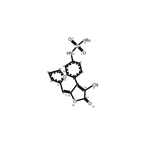 CCCCS(=O)(=O)Nc1ccc(C2=C(C#N)C(=O)O/C2=C/c2ccco2)cc1